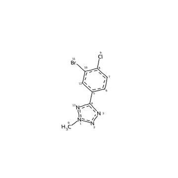 Cn1nnc(-c2ccc(Cl)c(Br)c2)n1